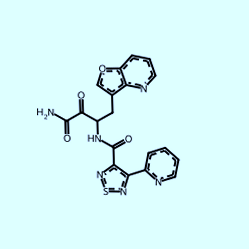 NC(=O)C(=O)C(Cc1coc2cccnc12)NC(=O)c1nsnc1-c1ccccn1